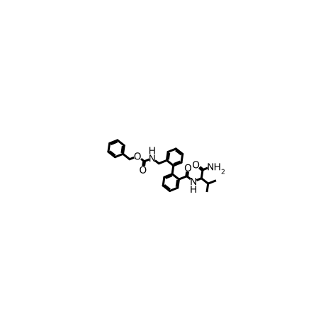 CC(C)C(NC(=O)c1ccccc1-c1ccccc1CNC(=O)OCc1ccccc1)C(N)=O